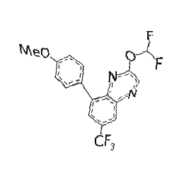 COc1ccc(-c2cc(C(F)(F)F)cc3ncc(OC(F)F)nc23)cc1